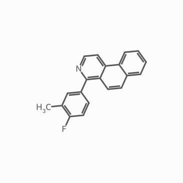 Cc1cc(-c2nccc3c2ccc2ccccc23)ccc1F